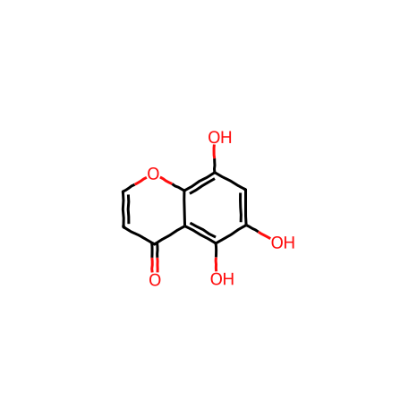 O=c1ccoc2c(O)cc(O)c(O)c12